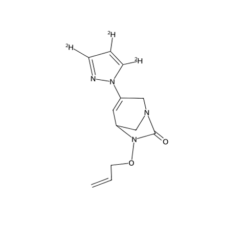 [2H]c1nn(C2=CC3CN(C2)C(=O)N3OCC=C)c([2H])c1[2H]